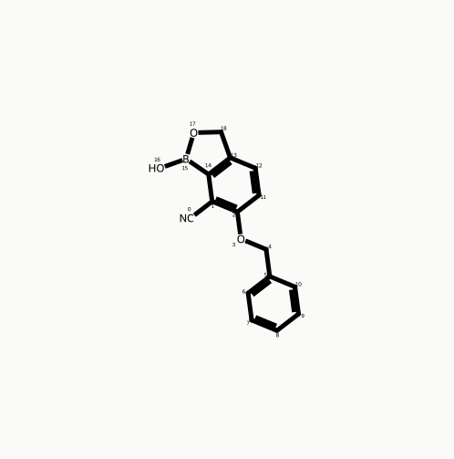 N#Cc1c(OCc2ccccc2)ccc2c1B(O)OC2